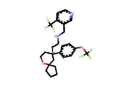 FC(F)(F)Oc1ccc([C@@]2(CCNCc3cnccc3C(F)(F)F)CCOC3(CCCC3)C2)cc1